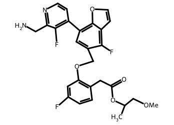 COCC(C)OC(=O)Cc1ccc(F)cc1OCc1cc(-c2ccnc(CN)c2F)c2occc2c1F